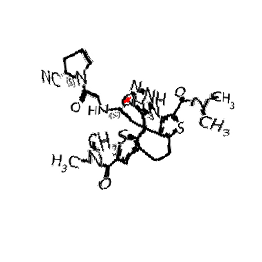 C[C@@H](CC1(c2nn[nH]n2)c2cc(C(=O)N(C)C)sc2CCc2cc(C(=O)N(C)C)sc21)NCC(=O)N1CCC[C@H]1C#N